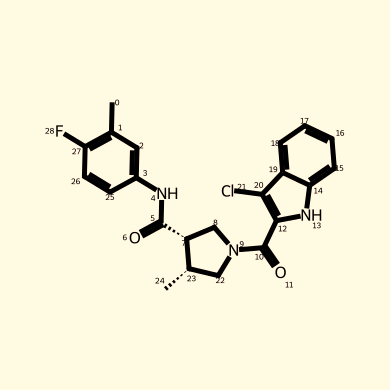 Cc1cc(NC(=O)[C@@H]2CN(C(=O)c3[nH]c4ccccc4c3Cl)C[C@@H]2C)ccc1F